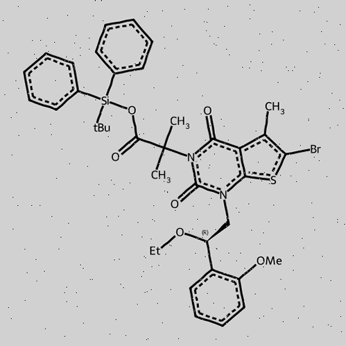 CCO[C@@H](Cn1c(=O)n(C(C)(C)C(=O)O[Si](c2ccccc2)(c2ccccc2)C(C)(C)C)c(=O)c2c(C)c(Br)sc21)c1ccccc1OC